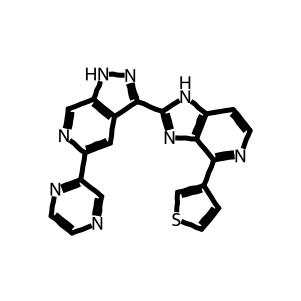 c1cnc(-c2cc3c(-c4nc5c(-c6ccsc6)nccc5[nH]4)n[nH]c3cn2)cn1